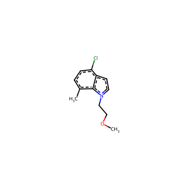 COCCn1ccc2c(Cl)ccc(C)c21